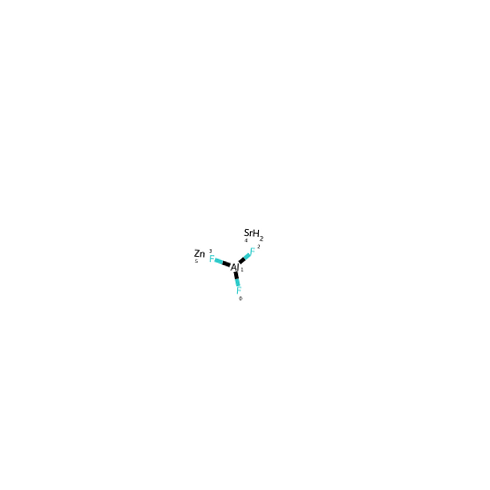 [F][Al]([F])[F].[SrH2].[Zn]